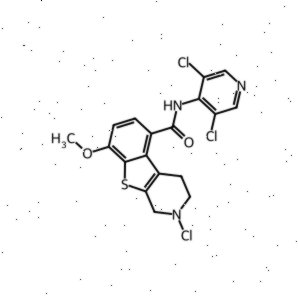 COc1ccc(C(=O)Nc2c(Cl)cncc2Cl)c2c3c(sc12)CN(Cl)CC3